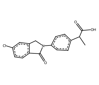 CC(C(=O)O)c1ccc(N2Cc3cc(Cl)ccc3C2=O)cc1